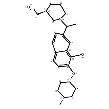 CC(c1ccc2ccc(O[C@H]3CC[C@@H](C)CC3)c(Cl)c2c1)N1CCC[C@H](CC(=O)O)C1